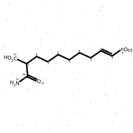 CCCCCCCCC=CCCCCCCC(C(N)=O)C(=O)O